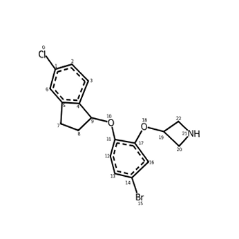 Clc1ccc2c(c1)CCC2Oc1ccc(Br)cc1OC1CNC1